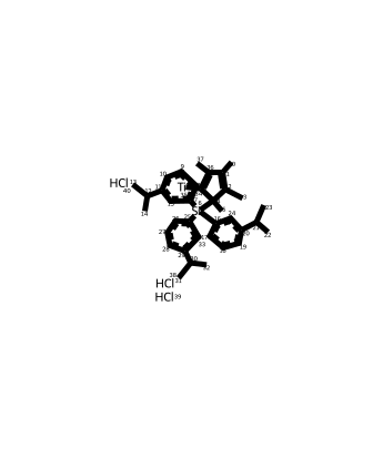 CC1=C(C)C(C)([Si](c2cccc(C(C)C)c2)(c2cccc(C(C)C)c2)c2cccc(C(C)C)c2)[C]([Ti])=C1C.Cl.Cl.Cl